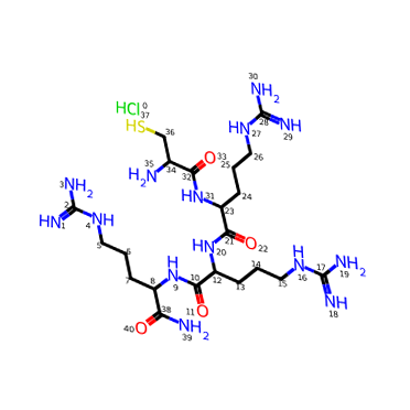 Cl.N=C(N)NCCCC(NC(=O)C(CCCNC(=N)N)NC(=O)C(CCCNC(=N)N)NC(=O)C(N)CS)C(N)=O